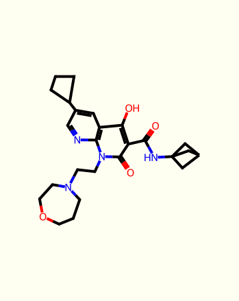 O=C(NC12CC(C1)C2)c1c(O)c2cc(C3CCC3)cnc2n(CCN2CCCOCC2)c1=O